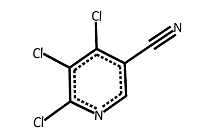 N#Cc1cnc(Cl)c(Cl)c1Cl